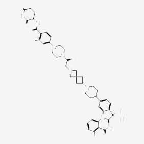 CC1(C)c2ccc(C3CCN(C4CC5(C4)CN(CC(=O)N4CCN(c6ccc(C(=O)N[C@H]7CCC(=O)NC7=O)c(F)c6)CC4)C5)CC3)cc2-n2c1nc(=O)c1c(Cl)cccc12